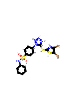 O=S(=O)(Nc1ccccc1)c1ccc(-n2nnnc2Sc2nc(Br)c(Br)s2)cc1